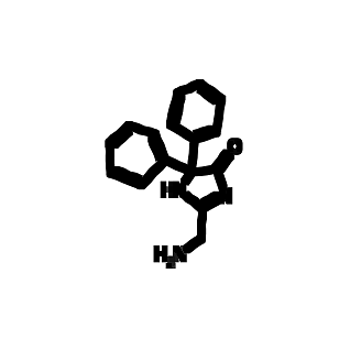 NCC1=NC(=O)C(c2ccccc2)(c2ccccc2)N1